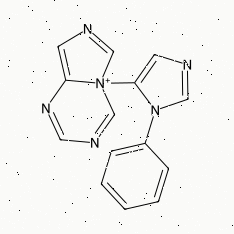 C1=NC=NC2=CN=C[N+]12c1cncn1-c1ccccc1